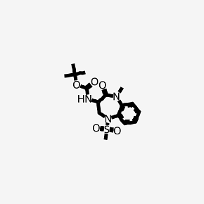 CN1C(=O)C(NC(=O)OC(C)(C)C)CN(S(C)(=O)=O)c2ccccc21